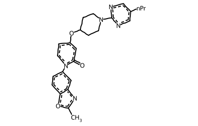 CCCc1cnc(N2CCC(Oc3ccn(-c4ccc5oc(C)nc5c4)c(=O)c3)CC2)nc1